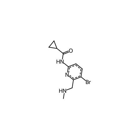 CNCc1nc(NC(=O)C2CC2)ccc1Br